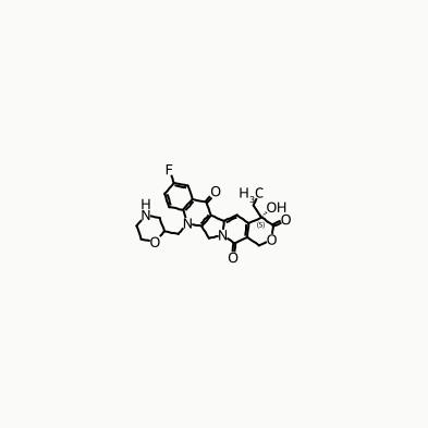 CC[C@@]1(O)C(=O)OCc2c1cc1n(c2=O)Cc2c-1c(=O)c1cc(F)ccc1n2CC1CNCCO1